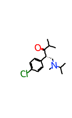 CC(C)C(=O)[C@H](CN(C)C(C)C)c1ccc(Cl)cc1